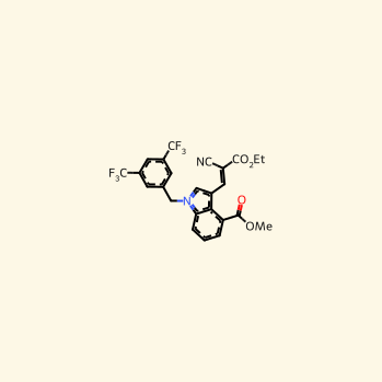 CCOC(=O)/C(C#N)=C/c1cn(Cc2cc(C(F)(F)F)cc(C(F)(F)F)c2)c2cccc(C(=O)OC)c12